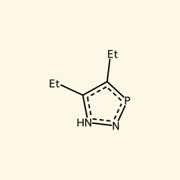 CCc1[nH]npc1CC